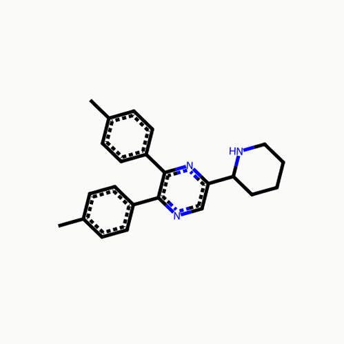 Cc1ccc(-c2ncc(C3CCCCN3)nc2-c2ccc(C)cc2)cc1